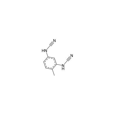 Cc1ccc(NC#N)cc1NC#N